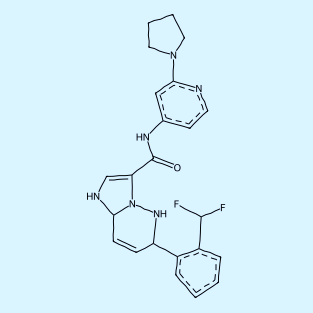 O=C(Nc1ccnc(N2CCCC2)c1)C1=CNC2C=CC(c3ccccc3C(F)F)NN12